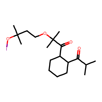 CC(C)C(=O)C1CCCCC1C(=O)C(C)(C)OCCC(C)(C)OI